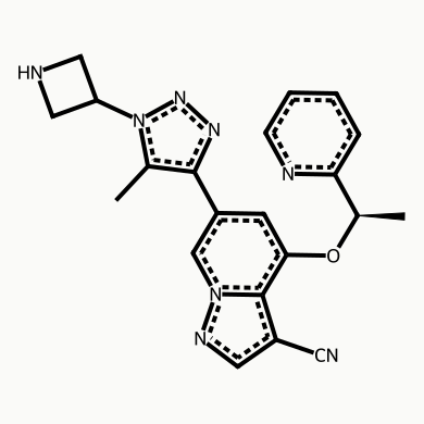 Cc1c(-c2cc(O[C@H](C)c3ccccn3)c3c(C#N)cnn3c2)nnn1C1CNC1